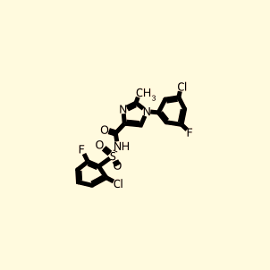 Cc1nc(C(=O)NS(=O)(=O)c2c(F)cccc2Cl)cn1-c1cc(F)cc(Cl)c1